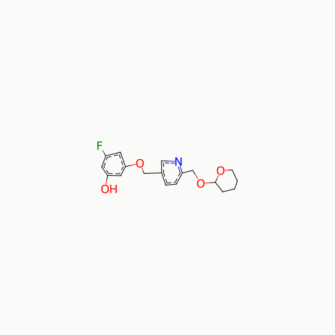 Oc1cc(F)cc(OCc2ccc(COC3CCCCO3)nc2)c1